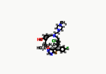 Cc1c2ccc(c1Cl)CN(CCN1CCN(C)CC1)Cc1ccc(O)c(c1)C[C@H](C(=O)O)Oc1ncnc3sc(-c4ccc(F)cc4)c-2c13